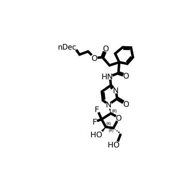 CCCCCCCCCCCCOC(=O)CC1(C(=O)Nc2ccn([C@@H]3O[C@H](CO)[C@@H](O)C3(F)F)c(=O)n2)C=CC=CC1